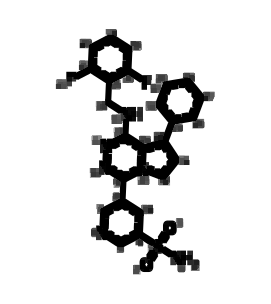 NS(=O)(=O)c1cncc(-c2nnc(NCc3c(F)cccc3F)c3c(-c4ccccc4)ccn23)c1